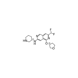 FC(F)c1cc2cnc(N[C@H]3CCCNC3)cc2c(O[C@@H]2CCOC2)n1